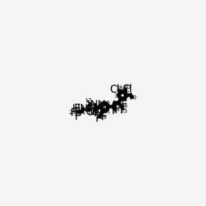 C=Cc1cc(C(/C=C(\F)c2ccc(C(=O)N[C@H](C)C(=O)NCC(F)(F)F)c(C(F)(F)F)c2)C(F)(F)F)cc(Cl)c1Cl